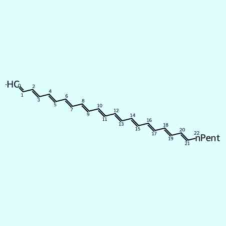 [CH]=CC=CC=CC=CC=CC=CC=CC=CC=CC=CC=CCCCCC